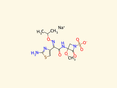 COC1(NC(=O)/C(=N/OC(C)C)c2csc(N)n2)CN(S(=O)(=O)[O-])C1=O.[Na+]